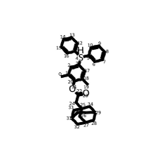 Cc1cc([SH](c2ccccc2)c2ccccc2)cc(C)c1OC(=O)CC12CC3CC(CC(C3)C1)C2